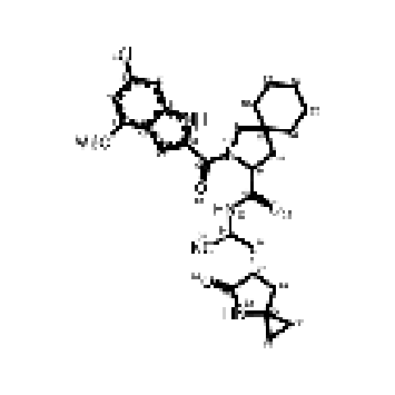 COc1cc(Cl)cc2[nH]c(C(=O)N3CC4(CCCCC4)C[C@H]3C(=O)N[C@H](C#N)C[C@@H]3CC4(CC4)NC3=O)cc12